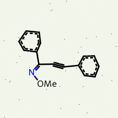 CON=C(C#Cc1ccccc1)c1ccccc1